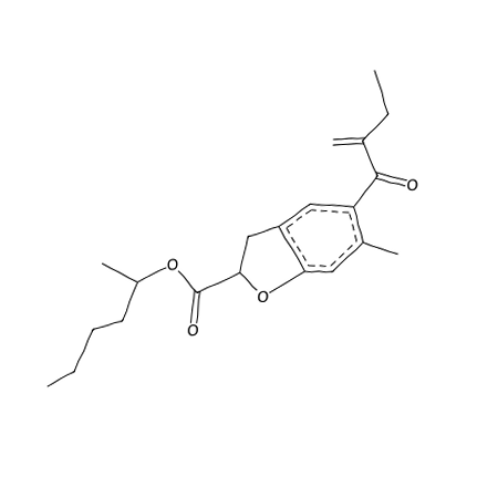 C=C(CC)C(=O)c1cc2c(cc1C)OC(C(=O)OC(C)CCCC)C2